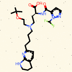 CC(C)(C)OCCN(CCCCc1ccc2c(n1)NCCC2)CC[C@H](NC(=O)c1ccnn1C(F)F)C(=O)O